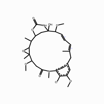 COc1cc2cc(c1Cl)N(C)C(=O)CC(OC)C1(C)OC1C(C)C1CC(O)(NC(=O)O1)C(OC)/C=C/C=C(\C)C2